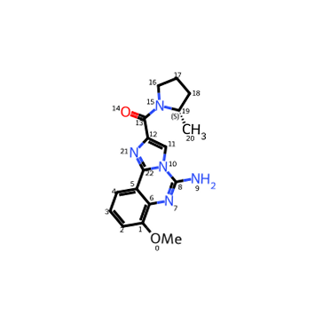 COc1cccc2c1nc(N)n1cc(C(=O)N3CCC[C@@H]3C)nc21